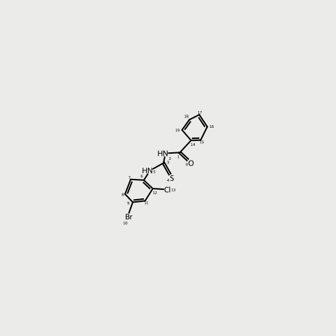 O=C(NC(=S)Nc1ccc(Br)cc1Cl)c1ccccc1